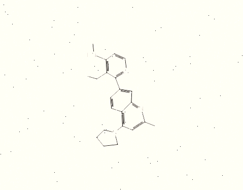 CCc1c(NC)ccnc1-c1ccc2c(N3CCCC3)cc(C)nc2c1